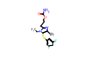 CC(C)c1nc(CCCOC(N)=O)n(CC(F)(F)F)c1Sc1cc(F)cc(F)c1